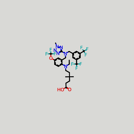 CCN(CCC(C)(C)CCC(=O)O)c1ccc(OC(F)(F)F)cc1CN(Cc1cc(C(F)(F)F)cc(C(F)(F)F)c1)c1nnn(C)n1